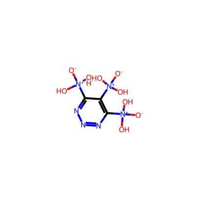 [O-][N+](O)(O)c1nnnc([N+]([O-])(O)O)c1[N+]([O-])(O)O